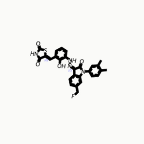 Cc1ccc(N2C(=O)/C(=N\Nc3cccc(/C=C4\SC(=O)NC4=O)c3O)c3ccc(CF)cc32)cc1C